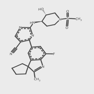 CC1=Nc2c(F)cc(-c3nc(N[C@@H]4CCN(S(C)(=O)=O)C[C@H]4O)ncc3C#N)cc2C12CCCC2